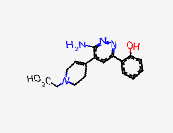 Nc1nnc(-c2ccccc2O)cc1C1=CCN(CC(=O)O)CC1